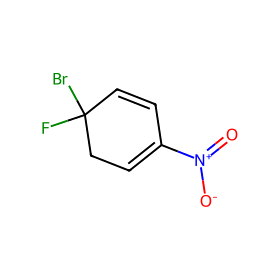 O=[N+]([O-])C1=CCC(F)(Br)C=C1